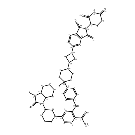 CN1C(=O)N(C2CCCN(c3cnc(C(N)=O)c(Nc4ccc(C5(C)CCN(C6CN(c7ccc8c(c7)C(=O)N(C7CCC(=O)NC7=O)C8=O)C6)CC5)cc4)n3)C2)C2CCCCC21